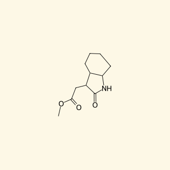 COC(=O)CC1C(=O)NC2CCCCC21